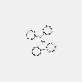 O=NN(c1ccccc1)c1ccccc1.c1ccc(-c2ccccc2)cc1